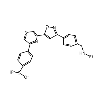 CCNCc1ccc(-c2cc(-c3cncc(-c4ccc([S+]([O-])C(C)C)cc4)n3)on2)cc1